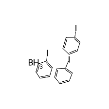 B.Ic1ccccc1.Ic1ccccc1.Ic1ccccc1